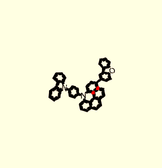 c1ccc2c(c1)ccc1cccc(N(c3ccc(-c4ccc5oc6ccccc6c5c4)cc3)c3ccc(-n4c5ccccc5c5ccccc54)cc3)c12